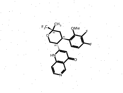 COc1c([C@@H]2C[C@](C)(C(F)(F)F)OC[C@H]2c2cc(=O)c3cnccc3[nH]2)ccc(F)c1F